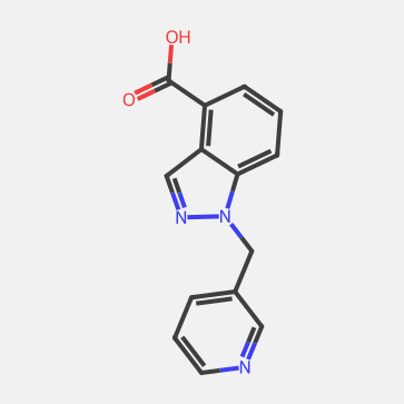 O=C(O)c1cccc2c1cnn2Cc1cccnc1